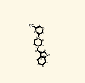 CC1=CSCC(N2CCN(Cc3csc4c3CCCC4)CC2)=N1